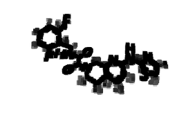 O=C(NCc1c(F)cccc1F)C(=O)N1CCc2ccc(Nc3nccs3)nc2C1